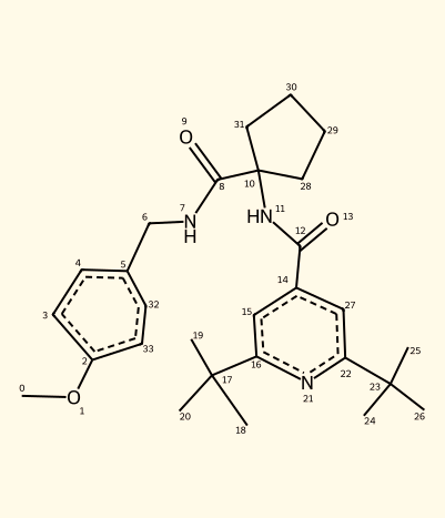 COc1ccc(CNC(=O)C2(NC(=O)c3cc(C(C)(C)C)nc(C(C)(C)C)c3)CCCC2)cc1